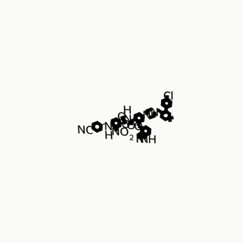 CC1(C)CCC(CN2CCN(c3ccc(C(=O)NS(=O)(=O)c4ccc(NC[C@H]5CC[C@H](C#N)CC5)c([N+](=O)[O-])c4)c(Oc4cccc5[nH]ncc45)c3)CC2)=C(c2ccc(Cl)cc2)C1